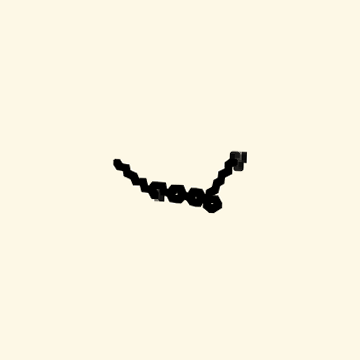 CCCCCCCCc1ccc(-c2ccc(-c3ccc(C4(CCCCCCCC(=O)O)CCCC4)cc3)cc2)nc1